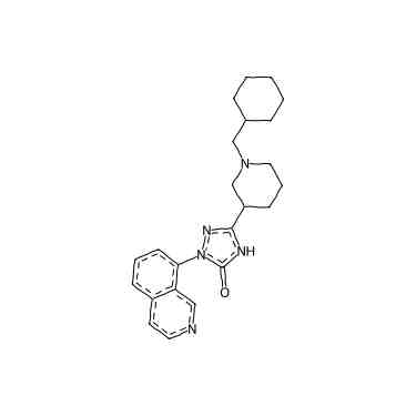 O=c1[nH]c(C2CCCN(CC3CCCCC3)C2)nn1-c1cccc2ccncc12